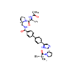 COC(=O)N[C@H](C(=O)N1CCC[C@@H]1CNC(=O)c1ccc(-c2ccc(-c3cnc([C@@H]4CCCN4C(=O)[C@@H](C)C(C)C)[nH]3)cc2)cc1)C(C)C